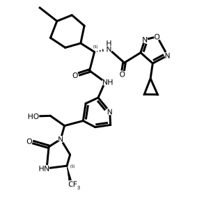 CC1CCC([C@H](NC(=O)c2nonc2C2CC2)C(=O)Nc2cc(C(CO)N3C[C@@H](C(F)(F)F)NC3=O)ccn2)CC1